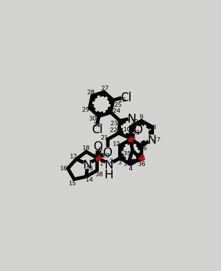 O=C(Nc1ccc2ncccc2c1)N1C2CCC1CC(OCc1c(-c3c(Cl)cccc3Cl)noc1C1CC1)C2